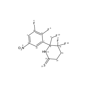 O=[N+]([O-])c1cc(F)c(F)c(C2(CF)NC(=S)CCC2(F)F)c1